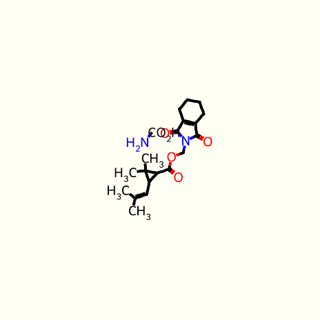 CC(C)=CC1C(C(=O)OCN2C(=O)C3=C(CCCC3)C2=O)C1(C)C.NC(=O)O